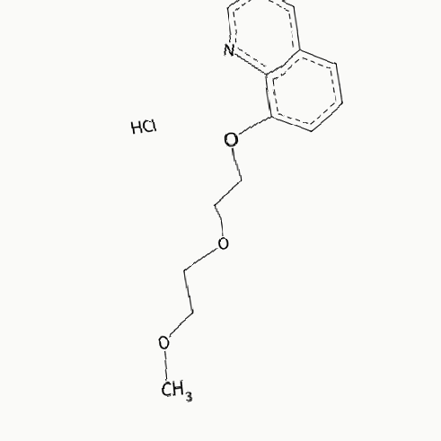 COCCOCCOc1cccc2cccnc12.Cl